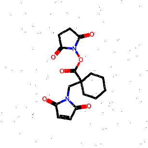 O=C1C=CC(=O)N1CC1(C(=O)ON2C(=O)CCC2=O)CCCCC1